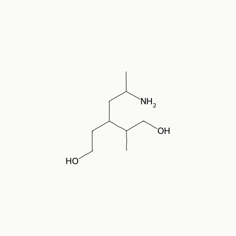 CC(N)CC(CCO)C(C)CO